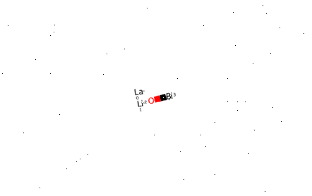 [La].[Li].[O]=[Bi]